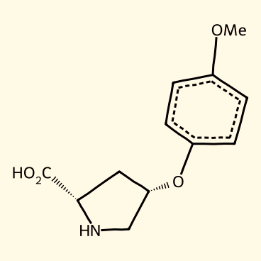 COc1ccc(O[C@@H]2CN[C@H](C(=O)O)C2)cc1